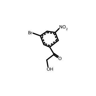 O=C(CO)c1cc(Br)cc([N+](=O)[O-])c1